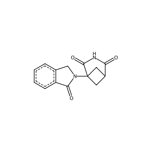 O=C1NC(=O)C2(N3Cc4ccccc4C3=O)CC1C2